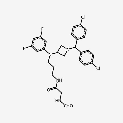 O=CNCC(=O)NCCCN(c1cc(F)cc(F)c1)C1CN(C(c2ccc(Cl)cc2)c2ccc(Cl)cc2)C1